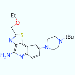 CCOCc1nc2c(N)nc3ccc(N4CCN(C(C)(C)C)CC4)cc3c2s1